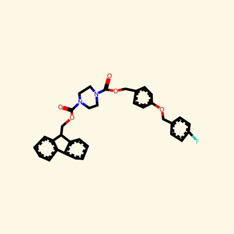 O=C(OCc1ccc(OCc2ccc(F)cc2)cc1)N1CCN(C(=O)OCC2c3ccccc3-c3ccccc32)CC1